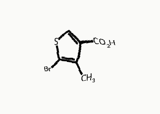 Cc1c(C(=O)O)csc1Br